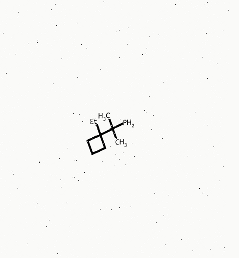 CCC1(C(C)(C)P)CCC1